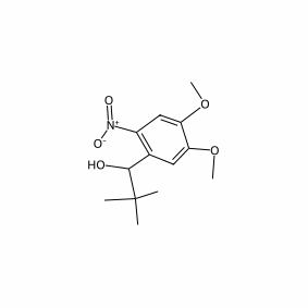 COc1cc(C(O)C(C)(C)C)c([N+](=O)[O-])cc1OC